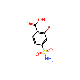 NS(=O)(=O)c1ccc(C(=O)O)c(Br)c1